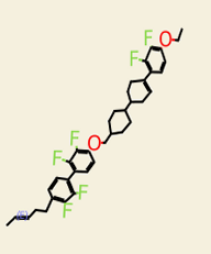 C/C=C/CCc1ccc(-c2ccc(OCC3CCC(C4CC=C(c5ccc(OCC)c(F)c5F)CC4)CC3)c(F)c2F)c(F)c1F